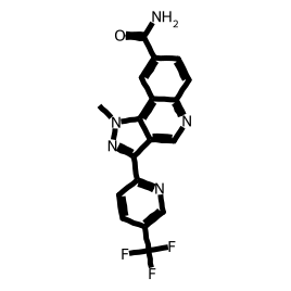 Cn1nc(-c2ccc(C(F)(F)F)cn2)c2cnc3ccc(C(N)=O)cc3c21